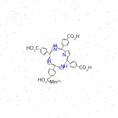 O=C(O)c1ccc(-c2c3nc(c(-c4ccc(C(=O)O)cc4)c4ccc([nH]4)c(-c4ccc(C(=O)O)cc4)c4nc(c(-c5ccc(C(=O)O)cc5)c5ccc2[nH]5)C=C4)C=C3)cc1.[Mn+2]